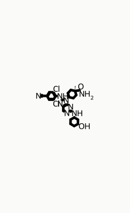 C[C@]1(C(N)=O)CC[C@@H](n2c(Nc3c(Cl)cc(C#N)cc3Cl)nc3cnc(N[C@@H]4CCC[C@H](O)C4)nc32)CC1